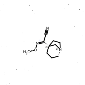 CO/N=C(/C#N)[C@]12CCC[N@@](CC1)C2